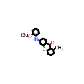 Cc1ccccc1C(=O)c1ccc(Nc2ccccc2OC(C)(C)C)cc1Cl